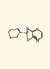 c1cnc2sc(C3CCCCC3)nc2n1